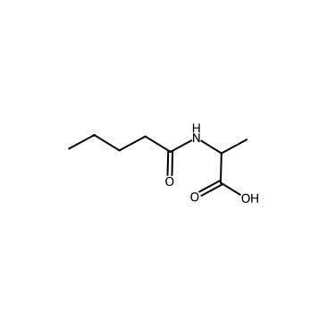 CCCCC(=O)NC(C)C(=O)O